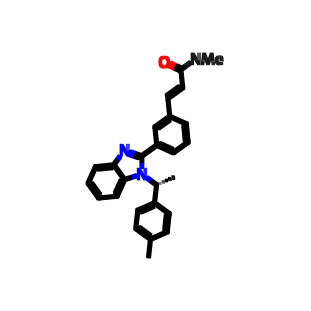 CNC(=O)/C=C/c1cccc(-c2nc3ccccc3n2[C@H](C)c2ccc(C)cc2)c1